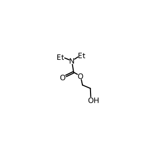 CCN(CC)C(=O)OCCO